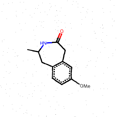 COc1ccc2c(c1)CC(=O)NC(C)C2